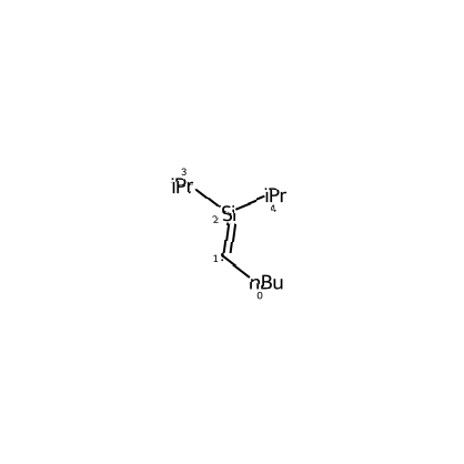 CCCC[C]=[Si](C(C)C)C(C)C